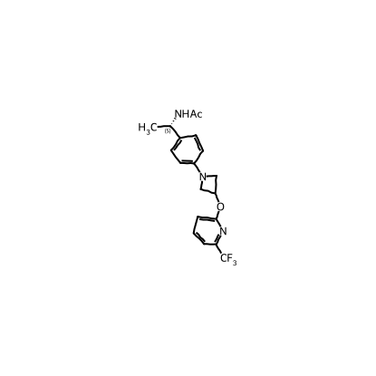 CC(=O)N[C@@H](C)c1ccc(N2CC(Oc3cccc(C(F)(F)F)n3)C2)cc1